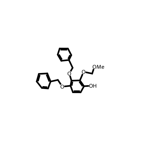 COCOc1c(O)ccc(OCc2ccccc2)c1OCc1ccccc1